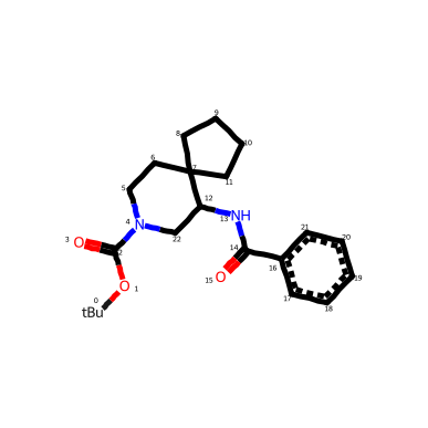 CC(C)(C)OC(=O)N1CCC2(CCCC2)C(NC(=O)c2ccccc2)C1